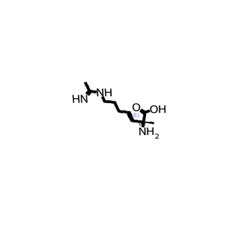 CC(=N)NCCC/C=C/[C@@](C)(N)C(=O)O